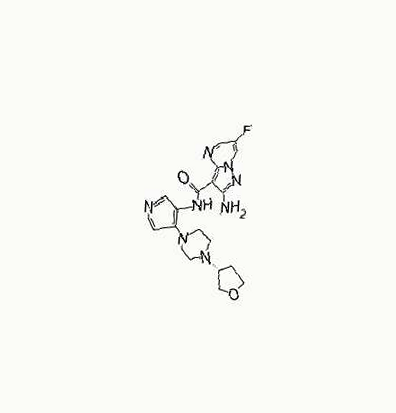 Nc1nn2cc(F)cnc2c1C(=O)Nc1cnccc1N1CCN([C@@H]2CCOC2)CC1